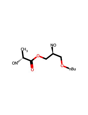 CCCCOC[C@@H](COC(=O)[C@@H](C)N=O)N=O